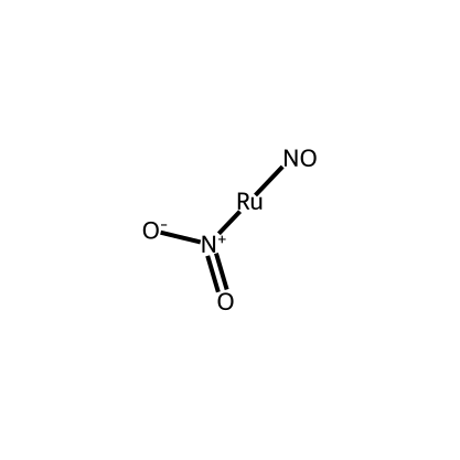 O=[N][Ru][N+](=O)[O-]